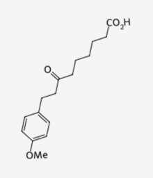 COc1ccc(CCC(=O)CCCCCC(=O)O)cc1